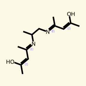 C/C(O)=C/C(C)=N/CC(C)/N=C(C)/C=C(/C)O